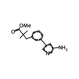 COC(=O)C(C)(C)Cc1cccc(-c2cncc(N)c2)c1